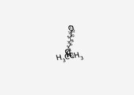 CN(C)OCCCCCCCCC=O